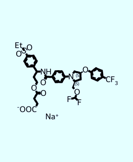 CCS(=O)(=O)c1ccc(C(CCOC(=O)CCC(=O)[O-])NC(=O)c2ccc(N3C[C@@H](Oc4ccc(C(F)(F)F)cc4)C[C@H]3COC(F)F)cc2)cc1.[Na+]